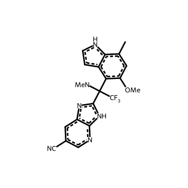 CNC(c1nc2cc(C#N)cnc2[nH]1)(c1c(OC)cc(C)c2[nH]ccc12)C(F)(F)F